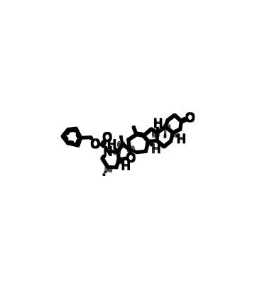 CC1=C2C[C@H]3C(CC[C@@H]4CC(=O)CC[C@@]43C)[C@@H]2CC[C@@]2(C1)O[C@@H]1C[C@H](C)CN(C(=O)OCc3ccccc3)[C@H]1[C@H]2C